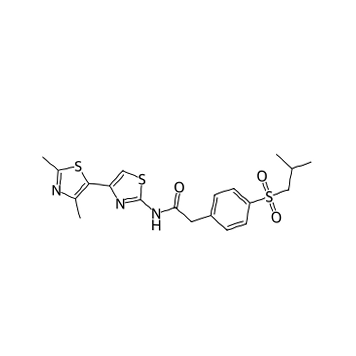 Cc1nc(C)c(-c2csc(NC(=O)Cc3ccc(S(=O)(=O)CC(C)C)cc3)n2)s1